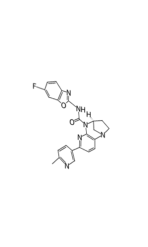 Cc1ccc(-c2ccc3c(n2)N(C(=O)Nc2nc4ccc(F)cc4o2)[C@H]2CCN3C2)cn1